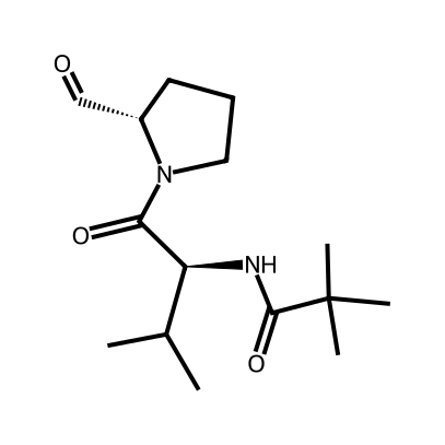 CC(C)[C@H](NC(=O)C(C)(C)C)C(=O)N1CCC[C@H]1C=O